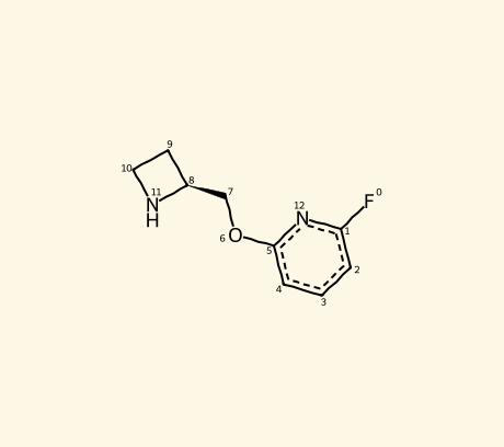 Fc1cccc(OC[C@@H]2CCN2)n1